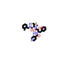 Cc1ccccc1CNC(=O)[C@@H]1C(C)SCN1C(=O)[C@@H](O)C(Cc1ccccc1)NC(=O)c1ccncc1